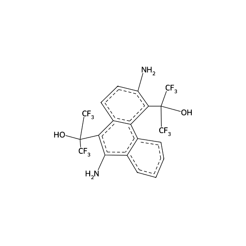 Nc1ccc2c(C(O)(C(F)(F)F)C(F)(F)F)c(N)c3ccccc3c2c1C(O)(C(F)(F)F)C(F)(F)F